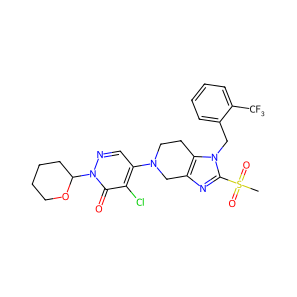 CS(=O)(=O)c1nc2c(n1Cc1ccccc1C(F)(F)F)CCN(c1cnn(C3CCCCO3)c(=O)c1Cl)C2